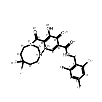 O=C(NCc1c(F)cc(F)cc1F)c1cn2c(c(O)c1=O)C(=O)N1CCC(F)(F)CCN2C1